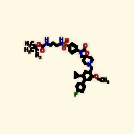 CCOc1cc(-c2ccc(F)cc2)c(C2CC2)cc1CN1CCC2(CC1)CN(c1ccc(S(=O)(=O)NCCCNC(=O)OC(C)(C)C)cc1)C(=O)O2